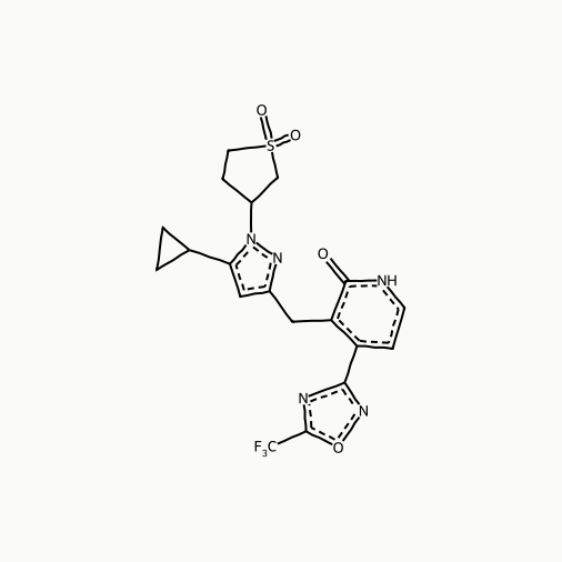 O=c1[nH]ccc(-c2noc(C(F)(F)F)n2)c1Cc1cc(C2CC2)n(C2CCS(=O)(=O)C2)n1